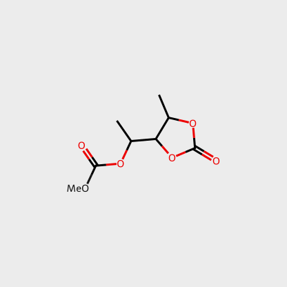 COC(=O)OC(C)C1OC(=O)OC1C